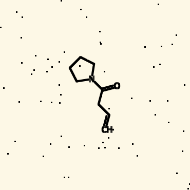 [CH]=CCC(=O)N1CCCC1